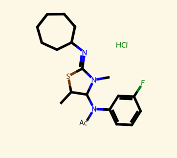 CC(=O)N(c1cccc(F)c1)C1C(C)SC(=NC2CCCCCC2)N1C.Cl